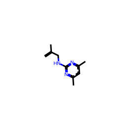 C=C(C)CNc1nc(C)cc(C)n1